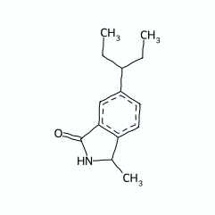 CCC(CC)c1ccc2c(c1)C(=O)NC2C